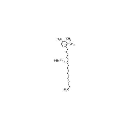 Br.CCCCCCCCCCCCCCCCc1ccc(C)c(C)c1C.N